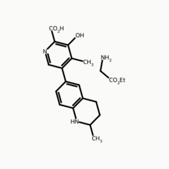 CCOC(=O)CN.Cc1c(-c2ccc3c(c2)CCC(C)N3)cnc(C(=O)O)c1O